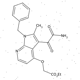 CCOC(=O)COc1ccnc2c1c(C(=O)C(N)=O)c(C)n2Cc1ccccc1